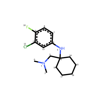 CN(C)CC1(Nc2ccc(F)c(Cl)c2)C[CH]CCC1